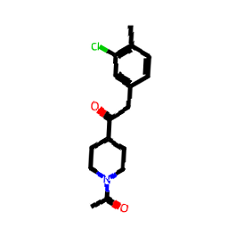 CC(=O)N1CCC(C(=O)Cc2ccc(C)c(Cl)c2)CC1